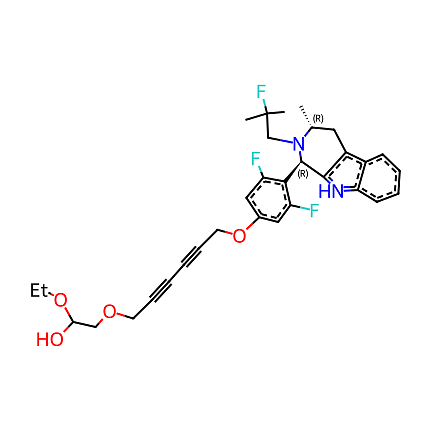 CCOC(O)COCC#CC#CCOc1cc(F)c([C@@H]2c3[nH]c4ccccc4c3C[C@@H](C)N2CC(C)(C)F)c(F)c1